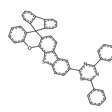 c1ccc(-c2nc(-c3ccccc3)nc(-c3ccc4sc5c6c(ccc5c4c3)C3(c4ccccc4O6)c4ccccc4-c4ccccc43)n2)cc1